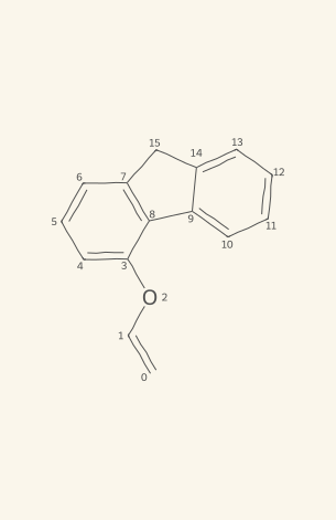 C=COc1cccc2c1-c1ccccc1C2